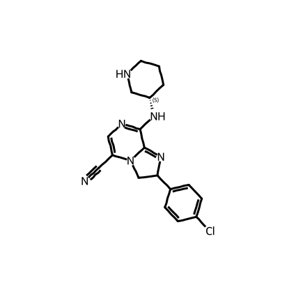 N#CC1=CN=C(N[C@H]2CCCNC2)C2=NC(c3ccc(Cl)cc3)CN12